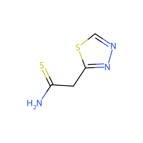 NC(=S)Cc1nncs1